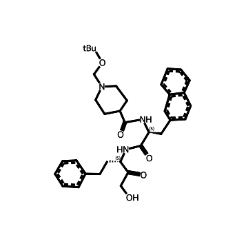 CC(C)(C)OCN1CCC(C(=O)N[C@@H](Cc2ccc3ccccc3c2)C(=O)N[C@@H](CCc2ccccc2)C(=O)CO)CC1